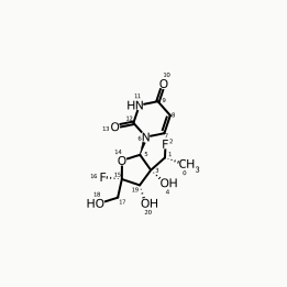 C[C@@H](F)[C@]1(O)[C@H](n2ccc(=O)[nH]c2=O)O[C@](F)(CO)[C@H]1O